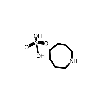 C1CCCNCCC1.O=S(=O)(O)O